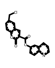 O=C(Oc1ccc2ncccc2c1)c1cc2cc(CCl)ccc2oc1=O